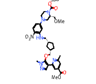 COC[C@@H]1CN(c2ccc([N+](=O)[O-])c(NC[C@@H]3CC[C@H](COc4c(-c5cc(C(=O)OC)cc(C)n5)cnn4C)C3)c2)CCN1C(=O)OC(C)(C)C